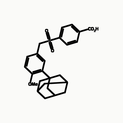 COc1ccc(CS(=O)(=O)c2ccc(C(=O)O)cc2)cc1C12CC3CC(CC(C3)C1)C2